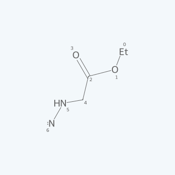 CCOC(=O)CN[N]